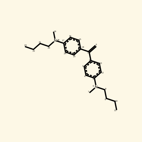 C=C(c1ccc(N(C)CCCC)cc1)c1ccc(N(C)CCCC)cc1